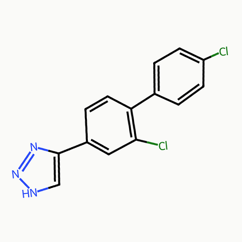 Clc1ccc(-c2ccc(-c3c[nH]nn3)cc2Cl)cc1